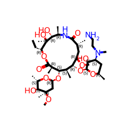 CC[C@H]1OC(=O)[C@H](C)[C@@H](O[C@H]2C[C@@](C)(OC)[C@@H](O)[C@H](C)O2)[C@H](C)[C@@H](O[C@@H]2O[C@H](C)C[C@H](N(C)CCN)[C@H]2O)[C@](C)(OC)C[C@@H](C)C(=O)N[C@H](C)[C@@H](O)[C@]1(C)O